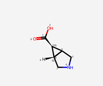 O=C(O)[C@H]1C2CNC[C@@H]21